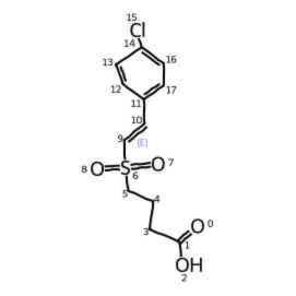 O=C(O)CCCS(=O)(=O)/C=C/c1ccc(Cl)cc1